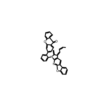 C=c1/c(=C\C=C/C)c2cc3c(nc2n1-c1ccccc1-c1ccc2c(=O)c4ccccc4oc2c1)oc1ccccc13